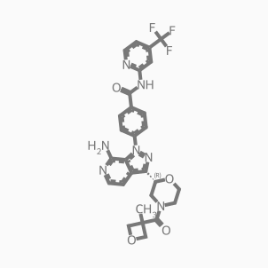 CC1(C(=O)N2CCO[C@@H](c3nn(-c4ccc(C(=O)Nc5cc(C(F)(F)F)ccn5)cc4)c4c(N)nccc34)C2)COC1